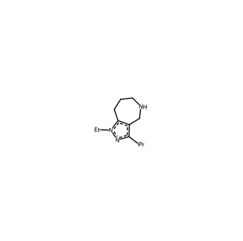 CCn1nc(C(C)C)c2c1CCCNC2